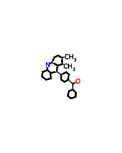 Cc1ccc2nc3ccccc3c(-c3ccc(C(=O)c4ccccc4)cc3)c2c1C